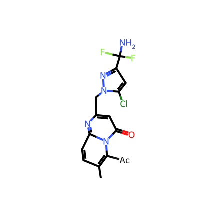 CC(=O)c1c(C)ccc2nc(Cn3nc(C(N)(F)F)cc3Cl)cc(=O)n12